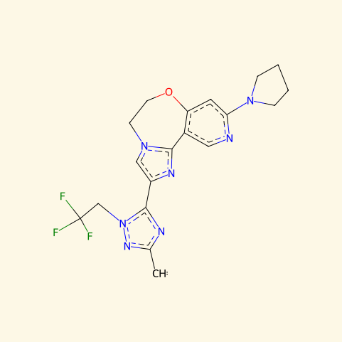 [CH]c1nc(-c2cn3c(n2)-c2cnc(N4CCCC4)cc2OCC3)n(CC(F)(F)F)n1